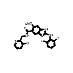 COc1cc2[nH]c(Nc3c(Cl)cccc3Cl)nc2cc1C(=O)NCc1ncccc1Cl